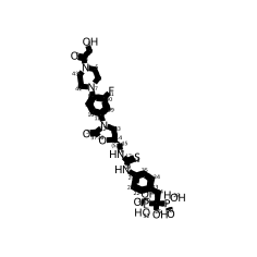 O=C(CO)N1CCN(c2ccc(N3C[C@H](CNC(=S)Nc4ccc(CC(O)([PH](=O)O)P(=O)(O)O)cc4)OC3=O)cc2F)CC1